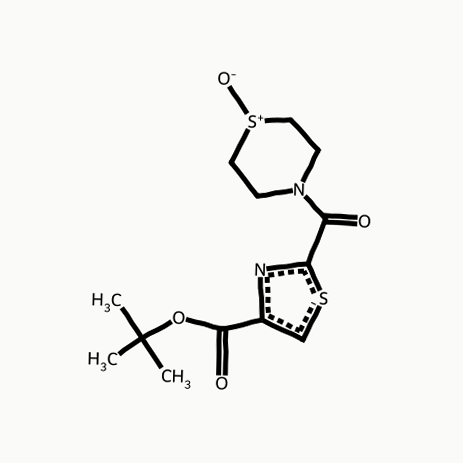 CC(C)(C)OC(=O)c1csc(C(=O)N2CC[S+]([O-])CC2)n1